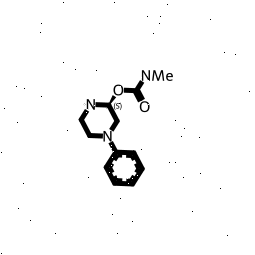 CNC(=O)O[C@H]1CN(c2ccccc2)CC[N]1